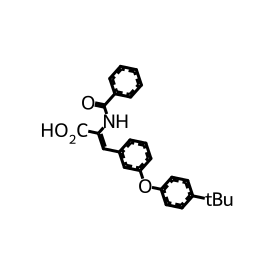 CC(C)(C)c1ccc(Oc2cccc(C=C(NC(=O)c3ccccc3)C(=O)O)c2)cc1